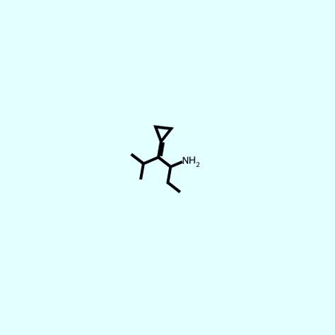 CCC(N)C(=C1CC1)C(C)C